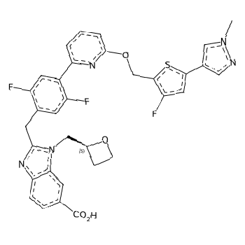 Cn1cc(-c2cc(F)c(COc3cccc(-c4cc(F)c(Cc5nc6ccc(C(=O)O)cc6n5C[C@@H]5CCO5)cc4F)n3)s2)cn1